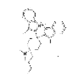 CCCCC1(N(C)C)CCC(c2c(C)c3ccccc3n2C)(c2c(C)c3ccccc3n2C)CC1